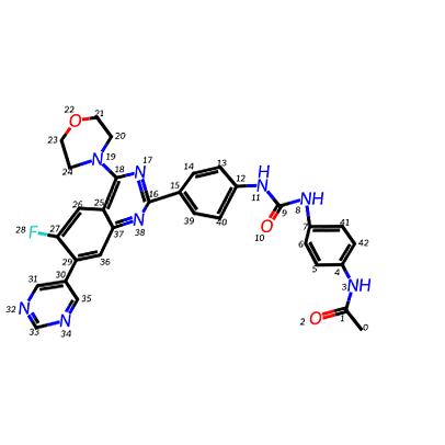 CC(=O)Nc1ccc(NC(=O)Nc2ccc(-c3nc(N4CCOCC4)c4cc(F)c(-c5cncnc5)cc4n3)cc2)cc1